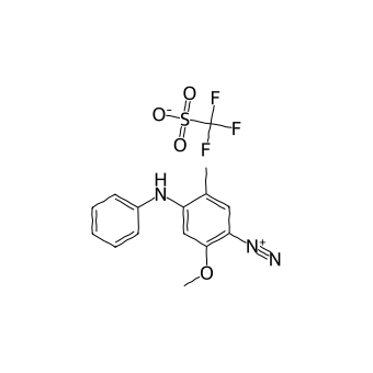 COc1cc(Nc2ccccc2)c(C)cc1[N+]#N.O=S(=O)([O-])C(F)(F)F